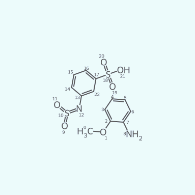 COc1ccccc1N.O=S(=O)=Nc1cccc(S(=O)(=O)O)c1